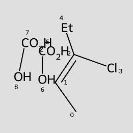 CC=C(Cl)CC.O=C(O)O.O=C(O)O